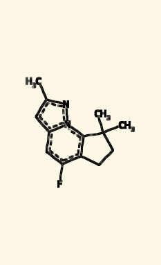 Cc1cc2cc(F)c3c(n2n1)C(C)(C)CC3